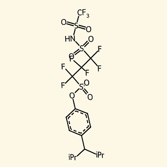 CC(C)C(c1ccc(OS(=O)(=O)C(F)(F)C(F)(F)C(F)(F)S(=O)(=O)NS(=O)(=O)C(F)(F)F)cc1)C(C)C